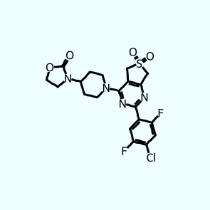 O=C1OCCN1C1CCN(c2nc(-c3cc(F)c(Cl)cc3F)nc3c2CS(=O)(=O)C3)CC1